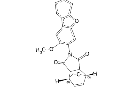 COc1cc2c(cc1N1C(=O)C3C(C1=O)[C@H]1C=C[C@@H]3CC1)oc1ccccc12